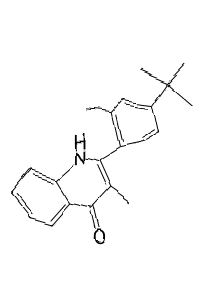 Cc1cc(C(C)(C)C)ccc1-c1[nH]c2ccccc2c(=O)c1C